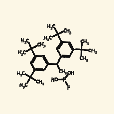 CC(c1cc(C(C)(C)C)cc(C(C)(C)C)c1)c1cc(C(C)(C)C)cc(C(C)(C)C)c1.OP(O)F